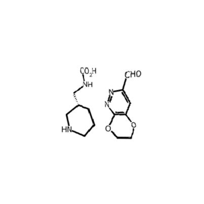 O=C(O)NC[C@@H]1CCCNC1.O=Cc1cc2c(nn1)OCCO2